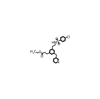 CCOC(=O)CCc1cc(CCNS(=O)(=O)c2ccc(Cl)cc2)cc(Cc2cccnc2)c1